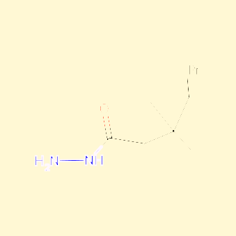 CC(C)CC(C)(C)CC(=O)NN